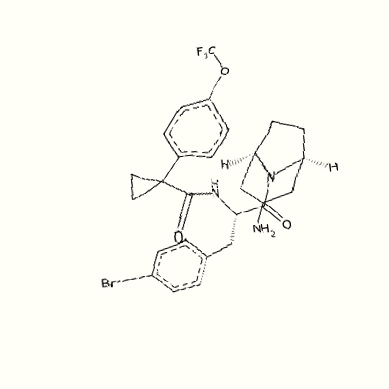 NC1C[C@H]2CC[C@@H](C1)N2C(=O)[C@H](Cc1ccc(Br)cc1)NC(=O)C1(c2ccc(OC(F)(F)F)cc2)CC1